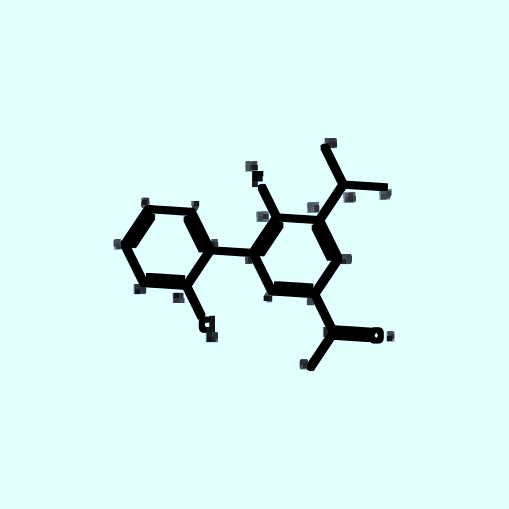 CC(=O)c1cc(-c2ccccc2Cl)c(F)c(C(C)C)c1